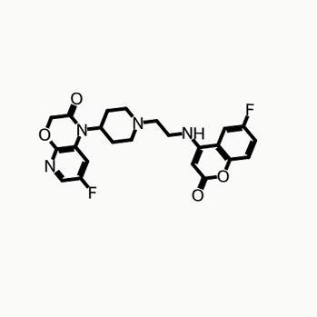 O=C1COc2ncc(F)cc2N1C1CCN(CCNc2cc(=O)oc3ccc(F)cc23)CC1